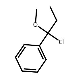 CCC(Cl)(OC)c1ccccc1